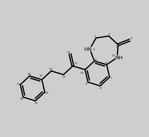 C=C1CCNc2c(cccc2C(=C)CCc2ccccc2)N1